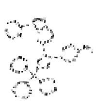 Nc1ccc(-c2nn(C(c3ccccc3)(c3ccccc3)c3ccccc3)cc2-c2ccc3ncc(-c4ccccn4)n3c2)cc1